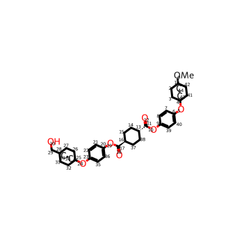 COC12CCC(Oc3ccc(OC(=O)[C@H]4CC[C@H](C(=O)Oc5ccc(OC67CCC(CO)(CC6)CC7)cc5)CC4)cc3)(CC1)CC2